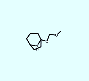 COCOC12CCCC(CC1)N2